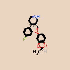 [2H]C1(C)Oc2ccc(OC[C@H]3CNCC[C@@H]3c3ccc(F)cc3)cc2O1